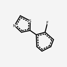 Fc1ccccc1-c1cncs1